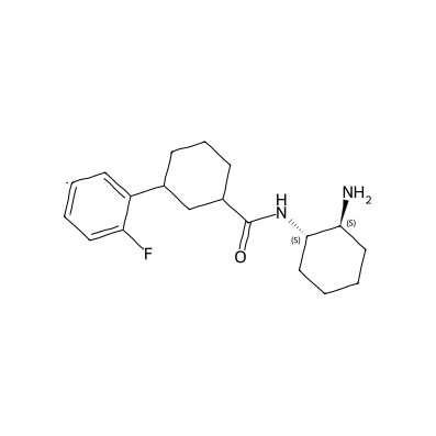 N[C@H]1CCCC[C@@H]1NC(=O)C1CCCC(c2c[c]ccc2F)C1